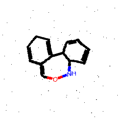 C1=CC2NOC=C3C=CCC=C3C2C=C1